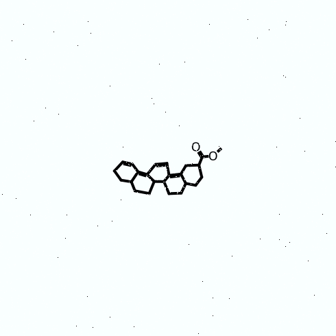 COC(=O)C1CCC2CCC3C(=C2C1)C=CC1=C2C=CCCC2CCC13